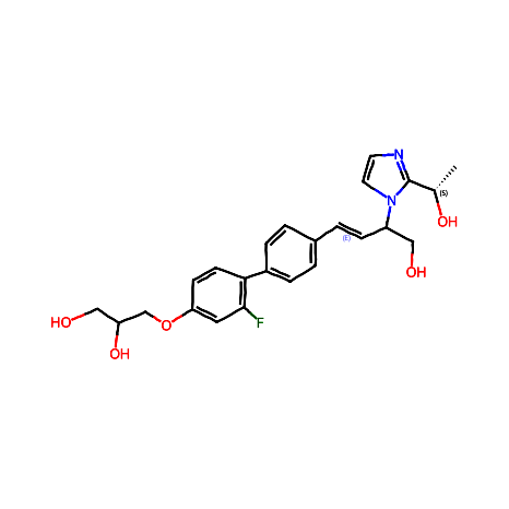 C[C@H](O)c1nccn1C(/C=C/c1ccc(-c2ccc(OCC(O)CO)cc2F)cc1)CO